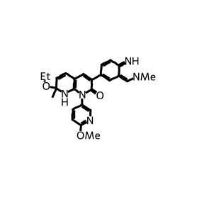 CCOC1(C)C=Cc2cc(C3=C/C(=C/NC)C(=N)C=C3)c(=O)n(-c3ccc(OC)nc3)c2N1